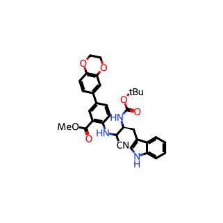 COC(=O)c1cc(-c2ccc3c(c2)OCCO3)ccc1NC(C#N)[C@H](Cc1c[nH]c2ccccc12)NC(=O)OC(C)(C)C